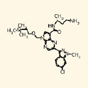 C[C@H](CCN)NC(=O)c1cn(COCC[Si](C)(C)C)c2ncc(-c3nn(C)c4cc(Cl)ccc34)nc12